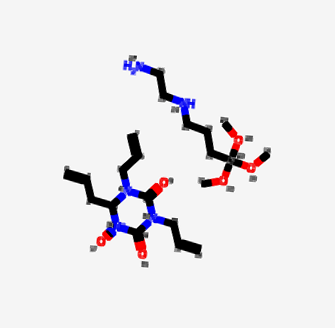 C=CCC1N(CC=C)C(=O)N(CC=C)C(=O)[N+]1=O.CO[Si](CCCNCCN)(OC)OC